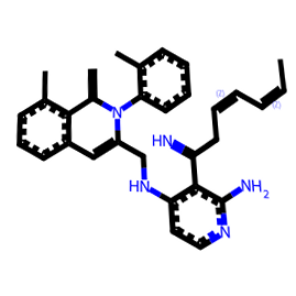 C=C1c2c(C)cccc2C=C(CNc2ccnc(N)c2C(=N)C/C=C\C=C/C)N1c1ccccc1C